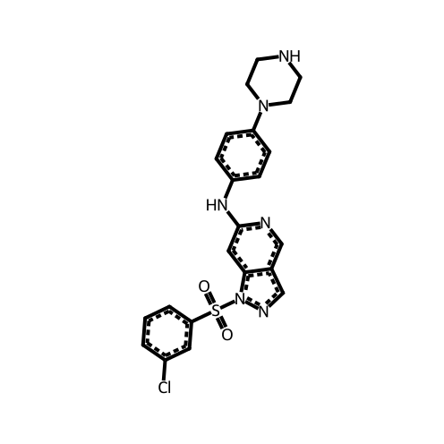 O=S(=O)(c1cccc(Cl)c1)n1ncc2cnc(Nc3ccc(N4CCNCC4)cc3)cc21